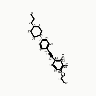 CCC[C@H]1CC[C@H](c2ccc(C#Cc3ccc(OCC)c(F)c3F)cc2)CC1